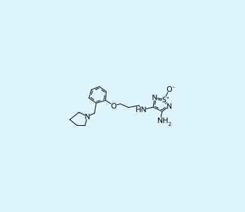 Nc1n[s+]([O-])nc1NCCCOc1ccccc1CN1CCCC1